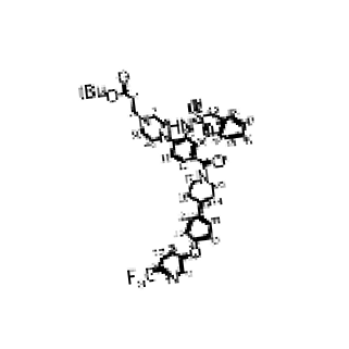 CC(C)(C)OC(=O)CCN1CCN(c2ccc(C(=O)N3CCC(c4ccc(Oc5ccc(C(F)(F)F)nc5)cc4)CC3)cc2NS(=O)(=O)Cc2ccccc2)CC1